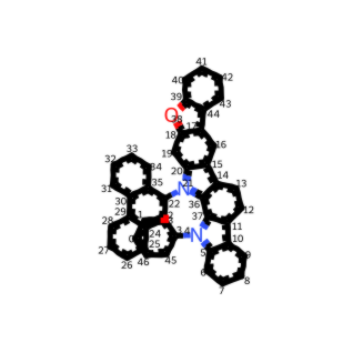 c1ccc(-n2c3ccccc3c3ccc4c5cc6c(cc5n(-c5cc7ccccc7c7ccccc57)c4c32)oc2ccccc26)cc1